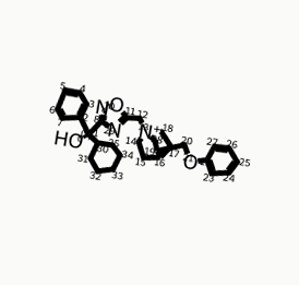 O[C@@](c1ccccc1)(c1noc(C[N+]23CCC(CC2)C(COc2ccccc2)C3)n1)C1CCCCC1